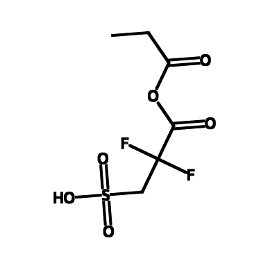 CCC(=O)OC(=O)C(F)(F)CS(=O)(=O)O